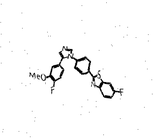 COc1cc(-c2cncn2-c2ccc(-c3nc4ccc(F)cc4s3)cc2)ccc1F